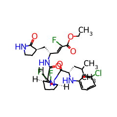 CCOC(=O)/C(F)=C/[C@@H](C[C@H]1CCNC1=O)NC(=O)[C@H]1[C@@H]2CC[C@@H](CC2(F)F)N1C(=O)[C@H](CC(C)C)Nc1cccc(Cl)c1